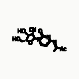 CC(=O)/C(C)=N/c1ccn(C2O[C@H](CO)[C@@H](O)[C@@H]2C#N)c(=O)n1